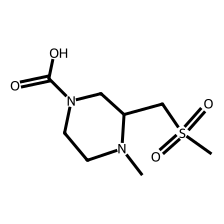 CN1CCN(C(=O)O)CC1CS(C)(=O)=O